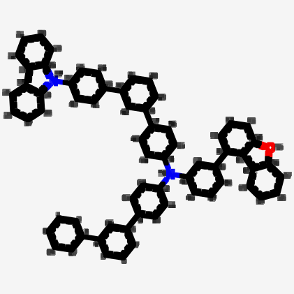 c1ccc(-c2cccc(-c3ccc(N(c4ccc(-c5cccc(-c6ccc(-n7c8ccccc8c8ccccc87)cc6)c5)cc4)c4cccc(-c5cccc6oc7ccccc7c56)c4)cc3)c2)cc1